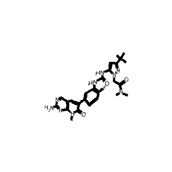 CN(C)C(=O)Cn1nc(C(C)(C)C)cc1NC(=O)Nc1cc(-c2cc3cnc(N)nc3n(C)c2=O)ccc1F